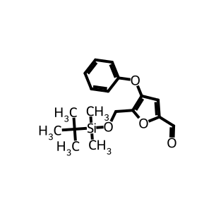 CC(C)(C)[Si](C)(C)OCc1oc(C=O)cc1Oc1ccccc1